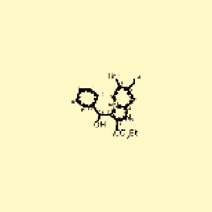 CCOC(=O)c1nc2cc(F)c(Br)cn2c1C(O)c1ccccc1